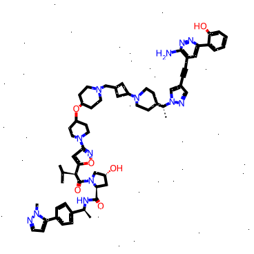 CC(C)[C@H](C(=O)N1C[C@H](O)C[C@H]1C(=O)N[C@@H](C)c1ccc(-c2ccnn2C)cc1)c1cc(N2CCC(OC3CCN(CC4CC(N5CCC([C@@H](C)n6cc(C#Cc7cc(-c8ccccc8O)nnc7N)cn6)CC5)C4)CC3)CC2)no1